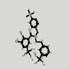 C[Si](C)(C)c1ccc(CN(CCc2cccc(C(F)(F)F)c2)C(=O)c2cc(C(F)(F)F)cc(Cl)c2F)cc1